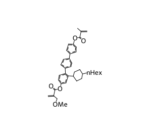 C=C(C)C(=O)Oc1ccc(-c2ccc(-c3ccc(OC(=O)C(=C)COC)cc3C3CCC(CCCCCC)CC3)cc2)cc1